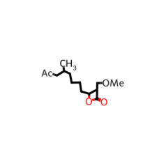 COCC1C(=O)OC1CCCCC(C)CC(C)=O